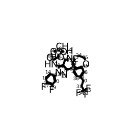 CS(=O)(=O)CC(=O)Nc1c2c(nn1-c1ccc(F)c(F)c1)C[C@]1(CCCOc3cc(CCC(F)(F)F)ccc31)NC2O